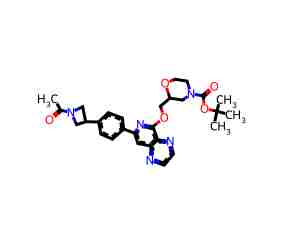 CC(=O)N1CC(c2ccc(-c3cc4nccnc4c(OCC4CN(C(=O)OC(C)(C)C)CCO4)n3)cc2)C1